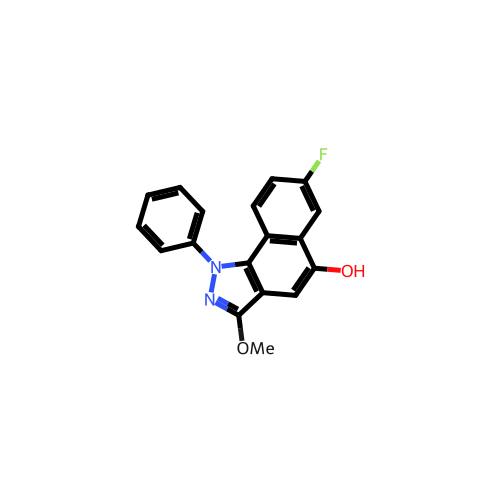 COc1nn(-c2ccccc2)c2c1cc(O)c1cc(F)ccc12